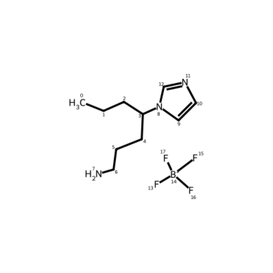 CCCC(CCCN)n1ccnc1.F[B-](F)(F)F